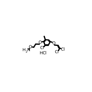 Cc1cc(OCC=C(Cl)Cl)cc(Cl)c1OCCCON.Cl